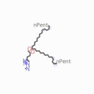 CCCCC/C=C\C/C=C\CCCCCCCCC1(CCCCCCCC/C=C\C/C=C\CCCCC)OCC(CCc2cn(CN(C)C)nn2)O1